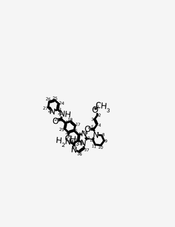 COC/C=C/C(=O)N1CCCC[C@H]1c1nc(-c2ccc(C(=O)Nc3ccccn3)cc2C)c2c(N)nccn12